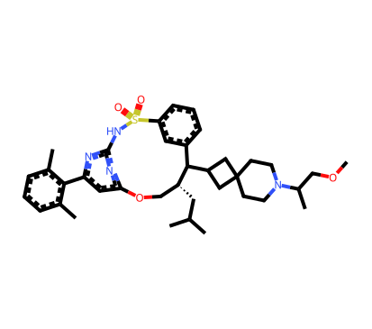 COCC(C)N1CCC2(CC1)CC(C1c3cccc(c3)S(=O)(=O)Nc3nc(cc(-c4c(C)cccc4C)n3)OC[C@H]1CC(C)C)C2